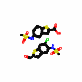 CS(=O)(=O)Nc1cc2cc(C=O)sc2cc1Cl.CS(=O)(=O)Nc1ccc2sc(C(=O)O)cc2c1